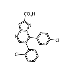 O=C(O)c1cc2ncc(-c3ccccc3Cl)c(-c3ccc(Cl)cc3)n2n1